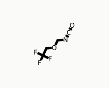 O=C=NCOCC(F)(F)F